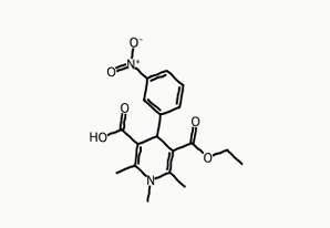 CCOC(=O)C1=C(C)N(C)C(C)=C(C(=O)O)C1c1cccc([N+](=O)[O-])c1